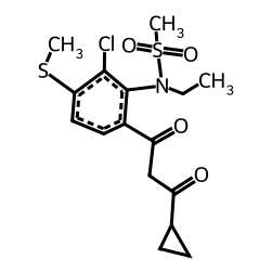 CCN(c1c(C(=O)CC(=O)C2CC2)ccc(SC)c1Cl)S(C)(=O)=O